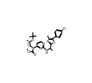 Cc1nc(C(C)Nc2nccc(N3C(=O)OC[C@@H]3[C@@H](C)OC(C)(C)C)n2)oc1-c1ccc(Cl)cc1